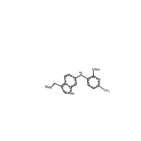 CNCc1c[nH]c2cc(Nc3ccc(C)nc3OC)ccc12